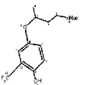 CCCCCCCCCCCC(C)Oc1ccc(O)c(C(F)(F)F)c1